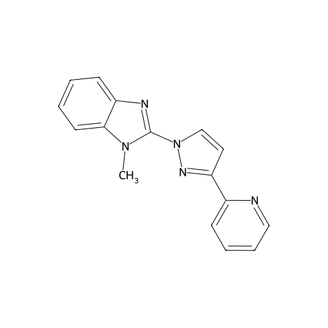 Cn1c(-n2ccc(-c3ccccn3)n2)nc2ccccc21